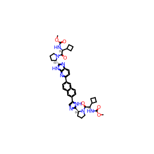 COC(=O)N[C@H](C(=O)N1CCC[C@H]1c1ncc(-c2ccc3cc(-c4ccc5nc([C@@H]6CCCN6C(=O)[C@@H](NC(=O)OC)C6CCC6)[nH]c5n4)ccc3c2)[nH]1)C1CCC1